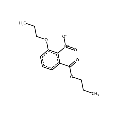 CCCOC(=O)c1cccc(OCCC)c1[N+](=O)[O-]